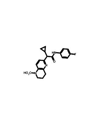 O=C(Nc1ccc(F)cc1)C(c1ccc2c(n1)CCCN2C(=O)O)C1CC1